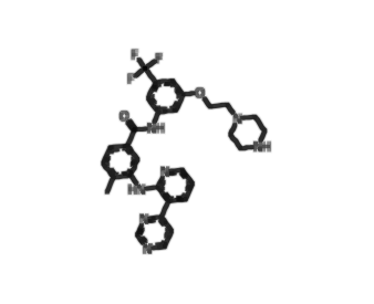 Cc1ccc(C(=O)Nc2cc(OCCN3CCNCC3)cc(C(F)(F)F)c2)cc1Nc1ncccc1-c1ccncn1